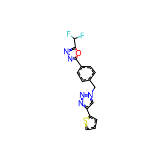 FC(F)c1nnc(-c2ccc(Cn3cc(-c4cccs4)nn3)cc2)o1